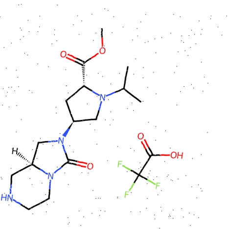 COC(=O)[C@H]1C[C@H](N2C[C@@H]3CNCCN3C2=O)CN1C(C)C.O=C(O)C(F)(F)F